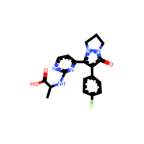 CC(Nc1nccc(-c2c(-c3ccc(F)cc3)c(=O)n3n2CCC3)n1)C(=O)O